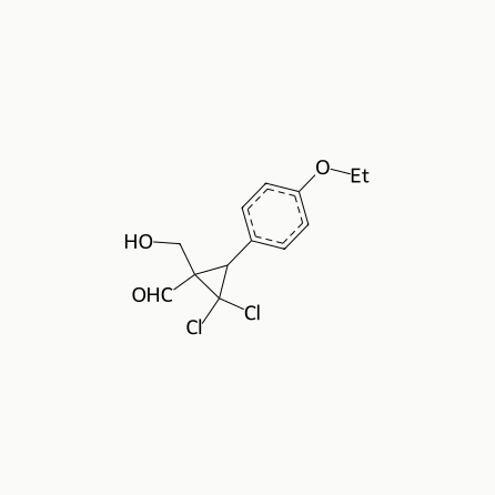 CCOc1ccc(C2C(Cl)(Cl)C2(C=O)CO)cc1